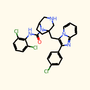 O=C(Nc1c(Cl)cccc1Cl)N1C2CCC1(Cc1c(-c3ccc(Cl)cc3)nc3ccccn13)CNC2